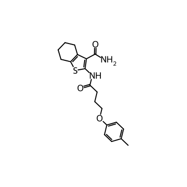 Cc1ccc(OCCCC(=O)Nc2sc3c(c2C(N)=O)CCCC3)cc1